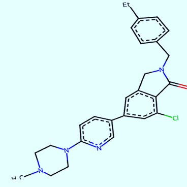 CCc1ccc(CN2Cc3cc(-c4ccc(N5CCN(C)CC5)nc4)cc(Cl)c3C2=O)cc1